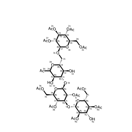 CC(=O)OC[C@H]1O[C@@H](O[C@@H]2[C@@H](OC(C)=O)[C@H](O[C@H]3[C@H](O)[C@@H](CO[C@@H]4O[C@H](COC(C)=O)[C@@H](OC(C)=O)[C@H](OC(C)=O)[C@H]4OC(C)=O)O[C](C(C)=O)[C@@H]3O)O[C@H](COC(C)=O)[C@H]2OC(C)=O)[C@H](OC(C)=O)[C@@H](O)[C@@H]1OC(C)=O